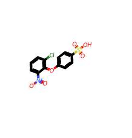 O=[N+]([O-])c1cccc(Cl)c1Oc1ccc(S(=O)(=O)O)cc1